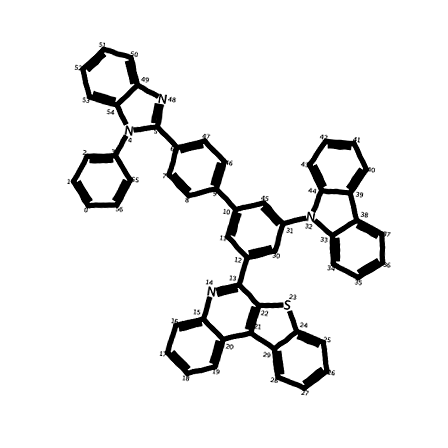 c1ccc(-n2c(-c3ccc(-c4cc(-c5nc6ccccc6c6c5sc5ccccc56)cc(-n5c6ccccc6c6ccccc65)c4)cc3)nc3ccccc32)cc1